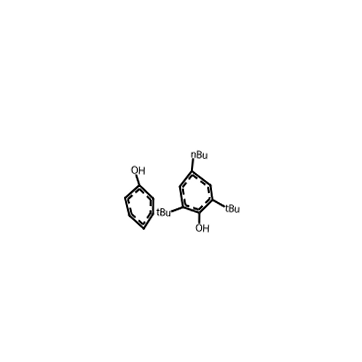 CCCCc1cc(C(C)(C)C)c(O)c(C(C)(C)C)c1.Oc1ccccc1